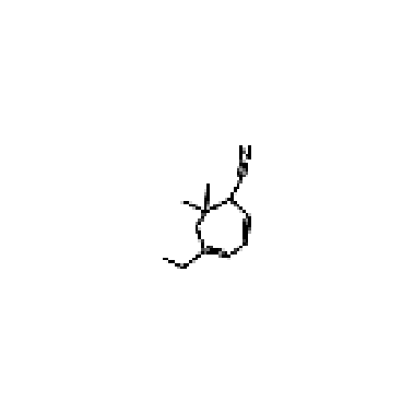 CCC1=CC=CC(C#N)C(C)(C)C1